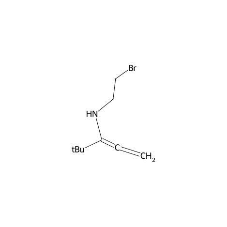 C=C=C(NCCBr)C(C)(C)C